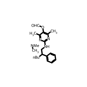 CCCCC(CNc1nc(C)c(OC=O)c(C)n1)c1ccccc1.CNC